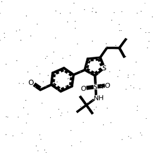 CC(C)Cc1cc(-c2ccc(C=O)cc2)c(S(=O)(=O)NC(C)(C)C)s1